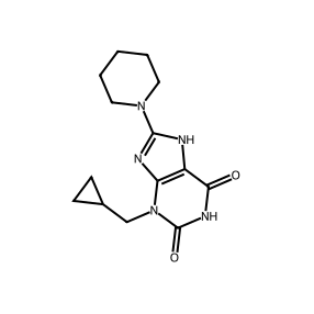 O=c1[nH]c(=O)n(CC2CC2)c2nc(N3CCCCC3)[nH]c12